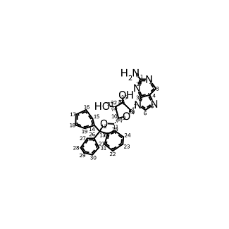 Nc1ncc2ncn([C@@H]3O[C@H](COC(c4ccccc4)(c4ccccc4)c4ccccc4)[C@@H](O)[C@H]3O)c2n1